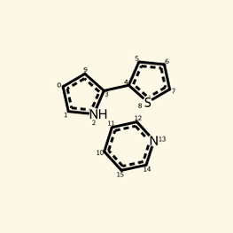 c1c[nH]c(-c2cccs2)c1.c1ccncc1